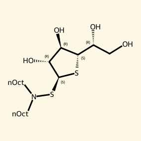 CCCCCCCCN(CCCCCCCC)S[C@@H]1S[C@@H]([C@H](O)CO)[C@H](O)[C@H]1O